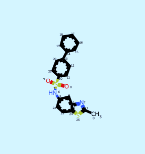 Cc1nc2cc(NS(=O)(=O)c3ccc(-c4ccccc4)cc3)ccc2s1